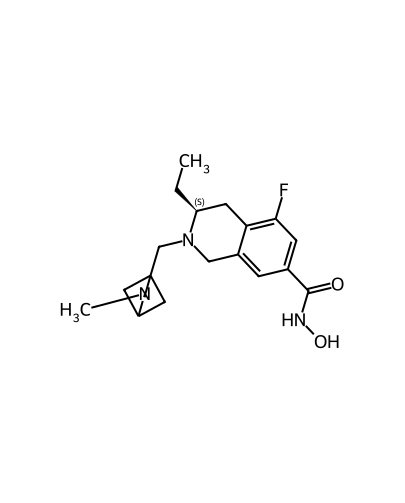 CC[C@H]1Cc2c(F)cc(C(=O)NO)cc2CN1CC12CC(C1)N(C)C2